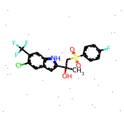 CC(O)(CS(=O)(=O)c1ccc(F)cc1)c1cc2cc(Cl)c(C(F)(F)F)cc2[nH]1